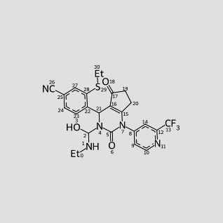 CCNC(O)N1C(=O)N(c2ccnc(C(F)(F)F)c2)C2=C(C(=O)CC2)C1c1ccc(C#N)cc1SCC